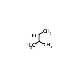 [CH2]C(C)CC.[Pt]